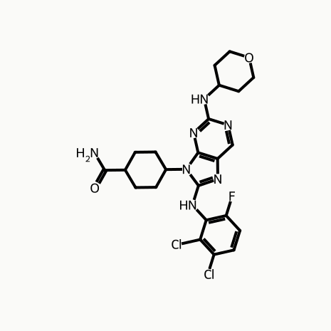 NC(=O)C1CCC(n2c(Nc3c(F)ccc(Cl)c3Cl)nc3cnc(NC4CCOCC4)nc32)CC1